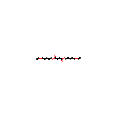 C=COCCCCCOC(=O)CCC(=O)OCCCCCOC=C